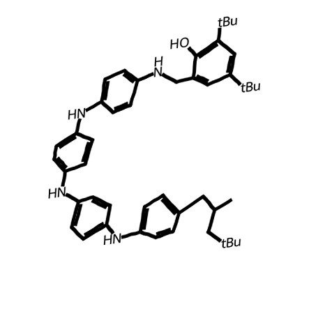 CC(Cc1ccc(Nc2ccc(Nc3ccc(Nc4ccc(NCc5cc(C(C)(C)C)cc(C(C)(C)C)c5O)cc4)cc3)cc2)cc1)CC(C)(C)C